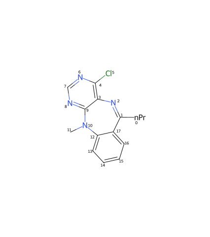 CCCC1=Nc2c(Cl)ncnc2N(C)c2ccccc21